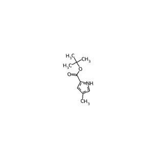 Cc1c[nH]c(C(=O)OC(C)(C)C)c1